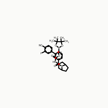 CC(C)(C)OC(=O)NC1CC2CCC(C1)N2C(=O)c1ccc(B2OC(C)(C)C(C)(C)O2)c(-c2ccc(C#N)c(F)c2)c1